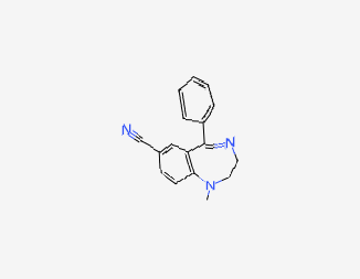 CN1CCN=C(c2ccccc2)c2cc(C#N)ccc21